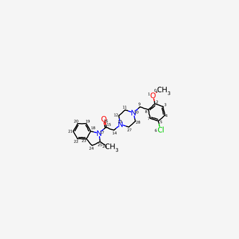 COc1ccc(Cl)cc1CN1CCN(CC(=O)N2c3ccccc3CC2C)CC1